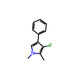 Cc1c(F)c(-c2ccccc2)cn1C